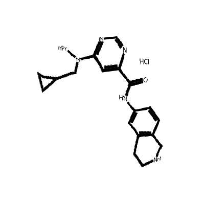 CCCN(CC1CC1)c1cc(C(=O)Nc2ccc3c(c2)CCNC3)ncn1.Cl